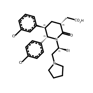 CC[C@@H](CN1CCCC1)N1C(=O)[C@@H](CC(=O)O)C[C@H](c2cccc(Cl)c2)[C@H]1c1ccc(Cl)cc1